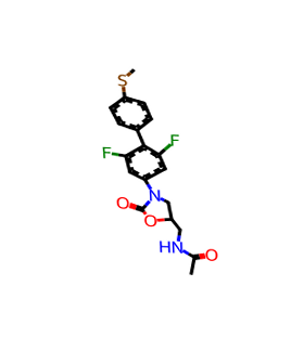 CSc1ccc(-c2c(F)cc(N3CC(CNC(C)=O)OC3=O)cc2F)cc1